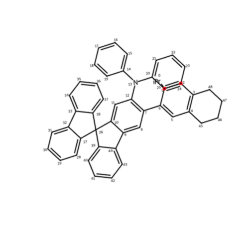 CC(C)c1cc2c(cc1-c1cc3c(cc1N(c1ccccc1)c1ccccc1)C1(c4ccccc4-c4ccccc41)c1ccccc1-3)CCCC2